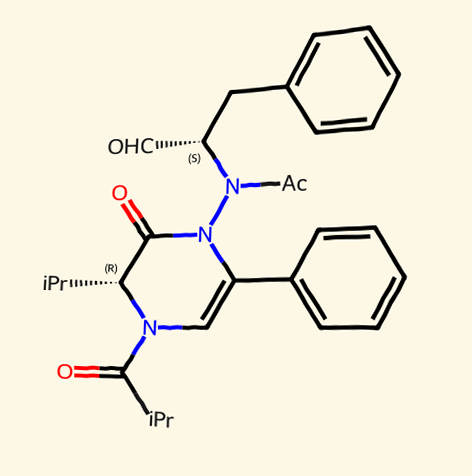 CC(=O)N([C@H](C=O)Cc1ccccc1)N1C(=O)[C@@H](C(C)C)N(C(=O)C(C)C)C=C1c1ccccc1